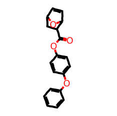 O=C(Oc1ccc(Oc2ccccc2)cc1)C1CC2C=CC1O2